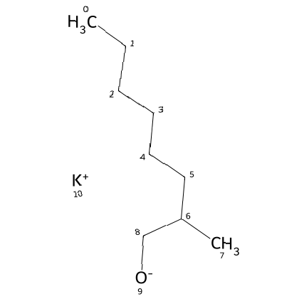 CCCCCCC(C)C[O-].[K+]